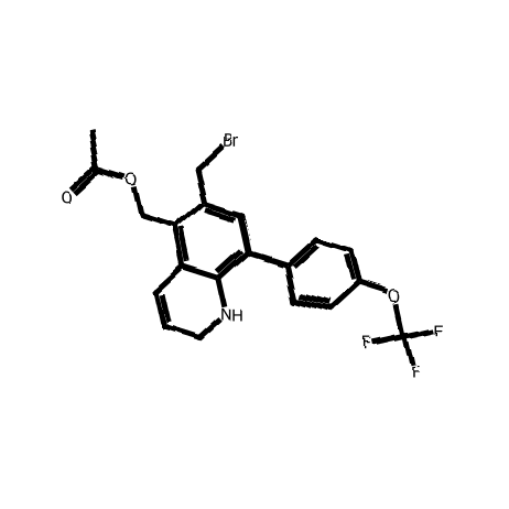 CC(=O)OCc1c(CBr)cc(-c2ccc(OC(F)(F)F)cc2)c2c1C=CCN2